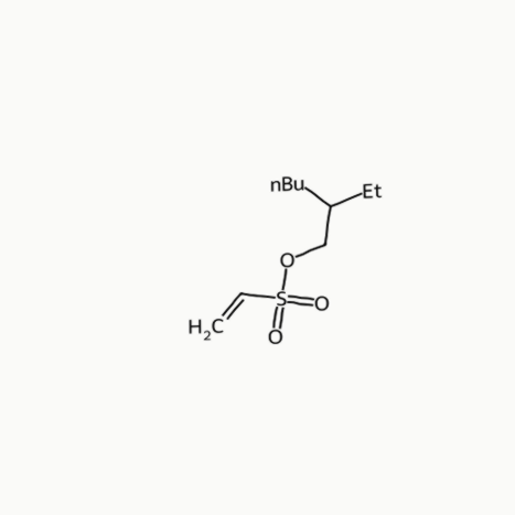 C=CS(=O)(=O)OCC(CC)CCCC